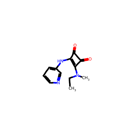 CCN(C)c1c(Nc2cccnc2)c(=O)c1=O